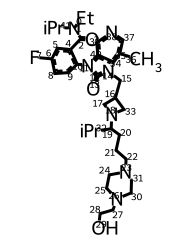 CCN(C(=O)c1cc(F)ccc1-n1c(=O)n(CC2CN(C(CCCN3CCN(CCO)CC3)C(C)C)C2)c2c(C)cncc21)C(C)C